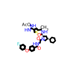 CC(=O)ONC(=N)c1csc([C@@H](C)NC(=O)[C@@H]2C[C@H](C3CCCCC3)CN2C(=O)CNC(=O)c2ccc(Oc3ccc(F)cc3)cc2)c1